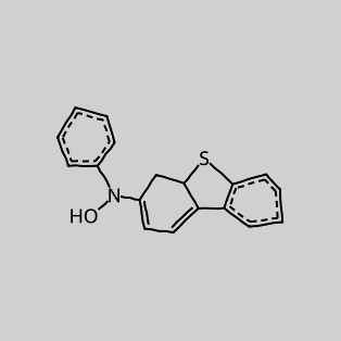 ON(C1=CC=C2c3ccccc3SC2C1)c1ccccc1